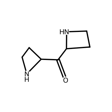 O=C(C1CCN1)C1CCN1